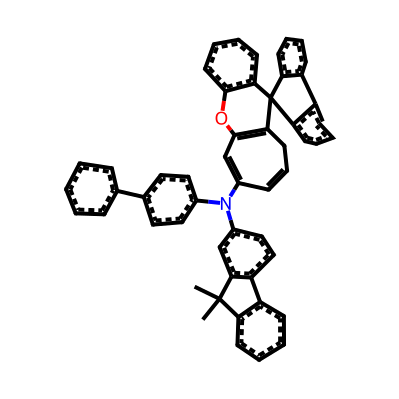 CC1(C)c2ccccc2-c2ccc(N(C3=CC4=C(CC=C3)C3(c5ccccc5O4)c4ccccc4-c4ccccc43)c3ccc(-c4ccccc4)cc3)cc21